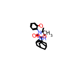 COC(=O)C12CC3CC(C1)C(NC(=O)N1CCOc4ccccc41)C(C3)C2